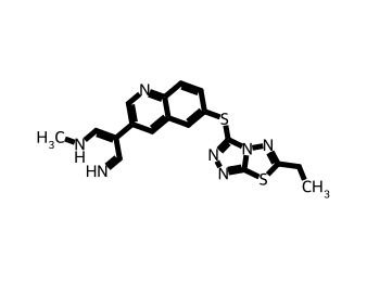 CCc1nn2c(Sc3ccc4ncc(/C(C=N)=C/NC)cc4c3)nnc2s1